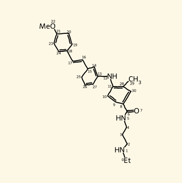 CCNCCCNC(=O)c1ccc(NC2=CC(/C=C/c3ccc(OC)cc3)CC=C2)c(C)c1